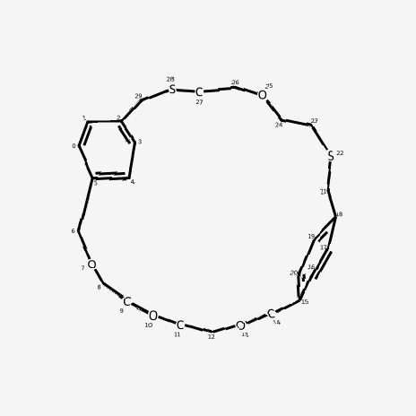 c1cc2ccc1COCCOCCOCc1ccc(cc1)CSCCOCCSC2